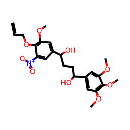 C=CCOc1c(OC)cc(C(O)CCC(O)c2cc(OC)c(OC)c(OC)c2)cc1[N+](=O)[O-]